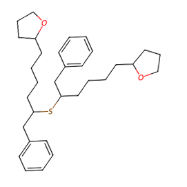 c1ccc(CC(CCCCC2CCCO2)SC(CCCCC2CCCO2)Cc2ccccc2)cc1